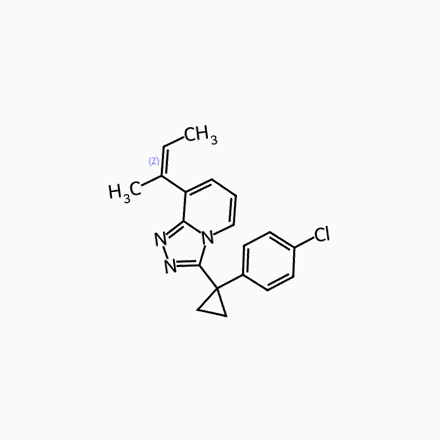 C/C=C(/C)c1cccn2c(C3(c4ccc(Cl)cc4)CC3)nnc12